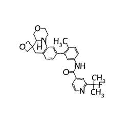 Cc1ccc(NC(=O)c2ccnc(C(C)(C)F)c2)cc1-c1ccc2c(c1)N1CCOC[C@@H]1C1(COC1)C2